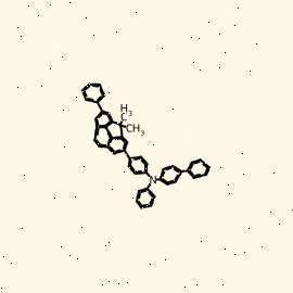 CC1(C)c2cc(-c3ccccc3)cc3ccc4cc(-c5ccc(N(c6ccccc6)c6ccc(-c7ccccc7)cc6)cc5)cc1c4c23